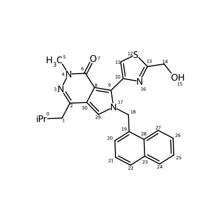 CC(C)Cc1nn(C)c(=O)c2c(-c3csc(CO)n3)n(Cc3cccc4ccccc34)cc12